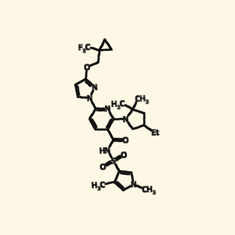 CCC1CN(c2nc(-n3ccc(OCC4(C(F)(F)F)CC4)n3)ccc2C(=O)NS(=O)(=O)c2cn(C)cc2C)C(C)(C)C1